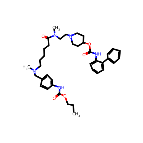 CCCOC(=O)Nc1ccc(CN(C)CCCCCC(=O)N(C)CCN2CCC(OC(=O)Nc3ccccc3-c3ccccc3)CC2)cc1